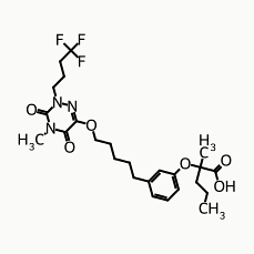 CCCC(C)(Oc1cccc(CCCCCOc2nn(CCCC(F)(F)F)c(=O)n(C)c2=O)c1)C(=O)O